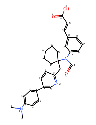 CN(C)c1ccc(-c2ccc(CC3(N(C=O)c4cccc(/C=C/C(=O)O)c4)CCCCC3)nc2)cc1